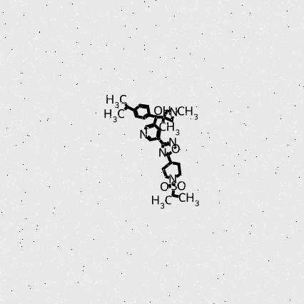 CC(C)c1ccc(C(O)(c2cncc(-c3noc(C4CCN(S(=O)(=O)C(C)C)CC4)n3)c2)C2(C)CN(C)C2)cc1